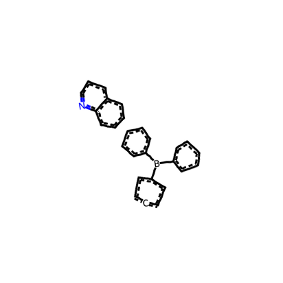 c1ccc(B(c2ccccc2)c2ccccc2)cc1.c1ccc2ncccc2c1